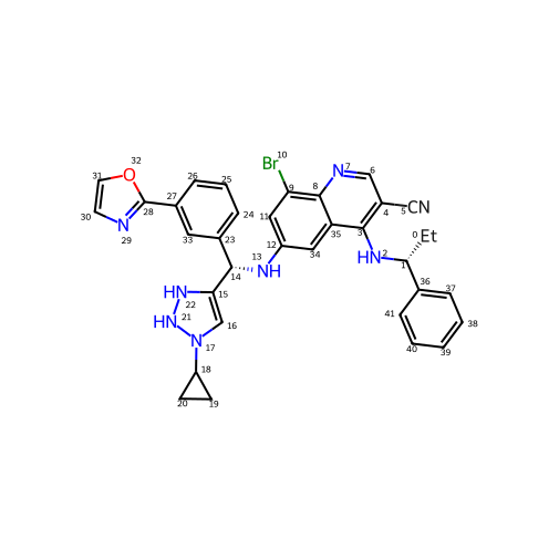 CC[C@@H](Nc1c(C#N)cnc2c(Br)cc(N[C@H](C3=CN(C4CC4)NN3)c3cccc(-c4ncco4)c3)cc12)c1ccccc1